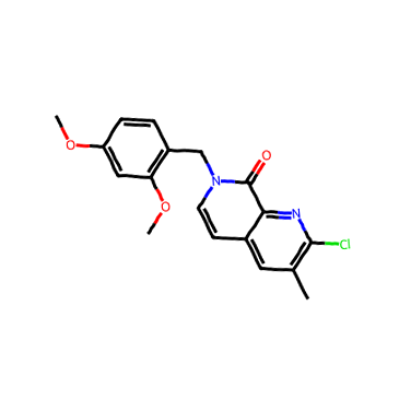 COc1ccc(Cn2ccc3cc(C)c(Cl)nc3c2=O)c(OC)c1